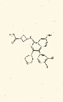 NC(=O)C1CC(Oc2nc(C3CCOCC3)c(-c3ccc(F)c(F)c3)c3ccc(O)cc23)C1